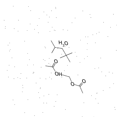 CC(=O)O.CC(C)CC(C)(C)C.CCOC(C)=O.O